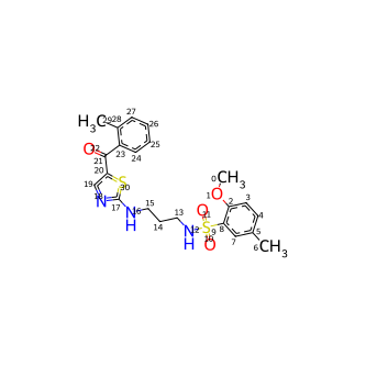 COc1ccc(C)cc1S(=O)(=O)NCCCNc1ncc(C(=O)c2ccccc2C)s1